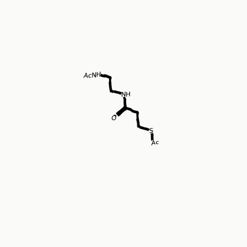 CC(=O)NCCNC(=O)CCSC(C)=O